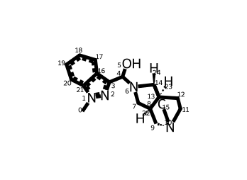 Cn1nc(C(O)N2C[C@@H]3C[N@@]4CC[C@@H]3[C@@H]2C4)c2ccccc21